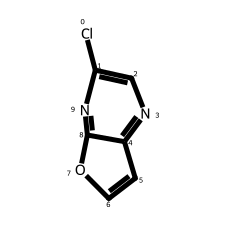 Clc1cnc2ccoc2n1